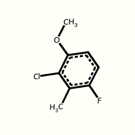 COc1ccc(F)c(C)c1Cl